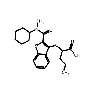 CCCC(Oc1c(C(=O)N(C)C2CCCCC2)sc2ccccc12)C(=O)O